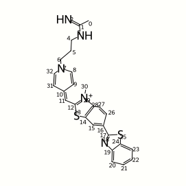 CC(=N)NCCCN1C=CC(=Cc2sc3cc(-c4nc5ccccc5s4)ccc3[n+]2C)C=C1